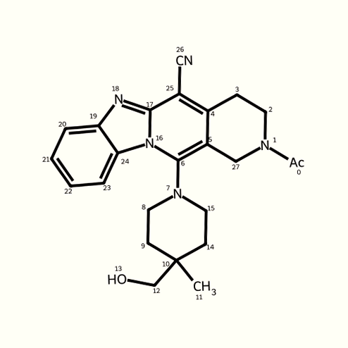 CC(=O)N1CCc2c(c(N3CCC(C)(CO)CC3)n3c(nc4ccccc43)c2C#N)C1